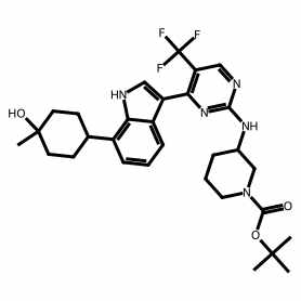 CC1(O)CCC(c2cccc3c(-c4nc(NC5CCCN(C(=O)OC(C)(C)C)C5)ncc4C(F)(F)F)c[nH]c23)CC1